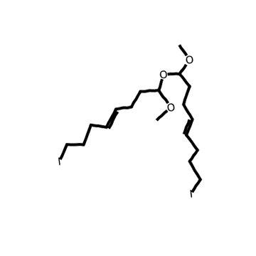 COC(CCC=CCCCI)OC(CCC=CCCCI)OC